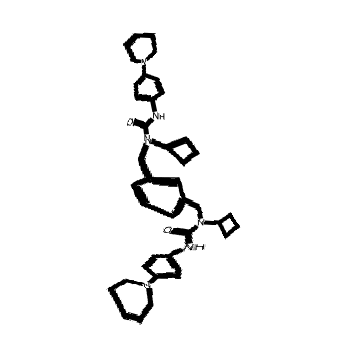 O=C(Nc1ccc(N2CCCCC2)cc1)N(Cc1cccc(CN(C(=O)Nc2ccc(N3CCCCC3)cc2)C2CCC2)c1)C1CCC1